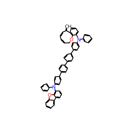 C=C1/C=C\C=C/COc2c1cccc2N(c1ccccc1)c1ccc(-c2ccc(-c3ccc(-c4ccc(N(c5ccccc5)c5cccc6c5oc5ccccc56)cc4)cc3)cc2)cc1